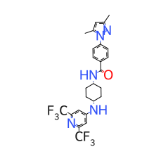 Cc1cc(C)n(-c2ccc(C(=O)N[C@H]3CC[C@@H](Nc4cc(C(F)(F)F)nc(C(F)(F)F)c4)CC3)cc2)n1